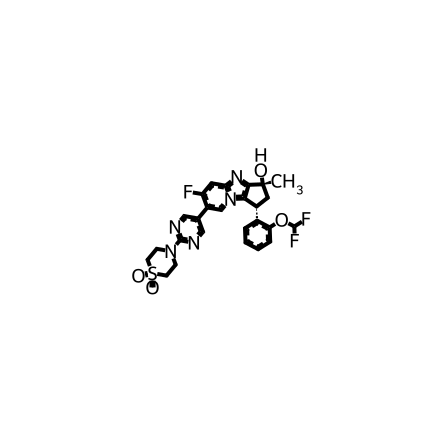 C[C@@]1(O)C[C@H](c2ccccc2OC(F)F)c2c1nc1cc(F)c(-c3cnc(N4CCS(=O)(=O)CC4)nc3)cn21